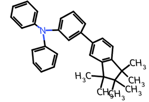 CC1(C)c2ccc(-c3cccc(N(c4ccccc4)c4ccccc4)c3)cc2C(C)(C)C1(C)C